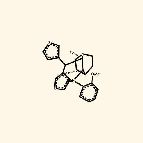 COc1ccccc1N(C)[C@@H]1C2CCN(CC2)[C@@H]1C(c1ccsc1)c1ccsc1